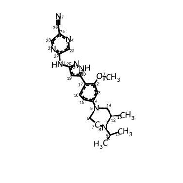 COc1cc(N2CCN(C(C)C)[C@H](C)C2)ccc1-c1cc(Nc2cnc(C#N)cn2)n[nH]1